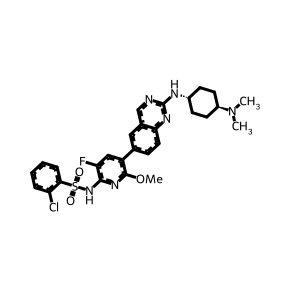 COc1nc(NS(=O)(=O)c2ccccc2Cl)c(F)cc1-c1ccc2nc(N[C@H]3CC[C@H](N(C)C)CC3)ncc2c1